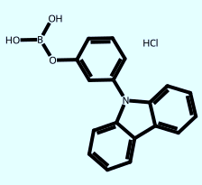 Cl.OB(O)Oc1cccc(-n2c3ccccc3c3ccccc32)c1